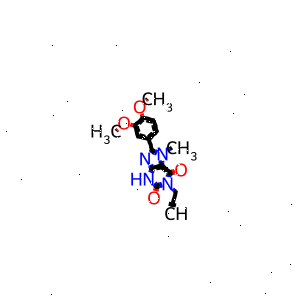 C#CCn1c(=O)[nH]c2nc(-c3ccc(OC)c(OC)c3)n(C)c2c1=O